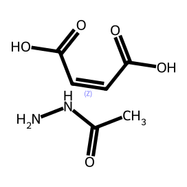 CC(=O)NN.O=C(O)/C=C\C(=O)O